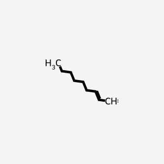 [CH]/C=C/CCCCCC